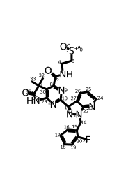 C[S+]([O-])CCNC(=O)c1nc(-c2nn(Cc3ccccc3F)c3ncccc23)nc2c1C(C)(C)C(=O)N2